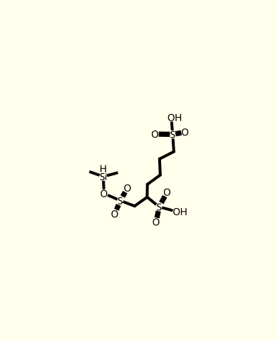 C[SiH](C)OS(=O)(=O)CC(CCCCS(=O)(=O)O)S(=O)(=O)O